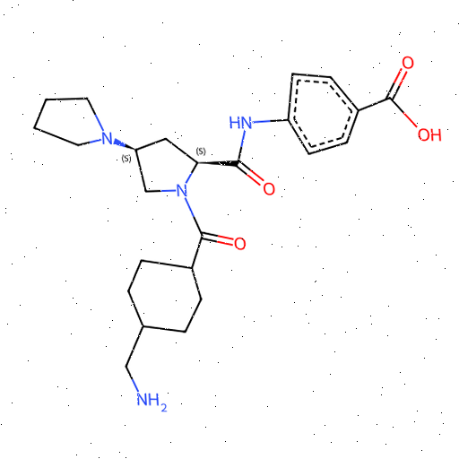 NCC1CCC(C(=O)N2C[C@@H](N3CCCC3)C[C@H]2C(=O)Nc2ccc(C(=O)O)cc2)CC1